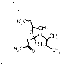 CCC(C)OC(C)(OC(C)=O)OC(C)CC